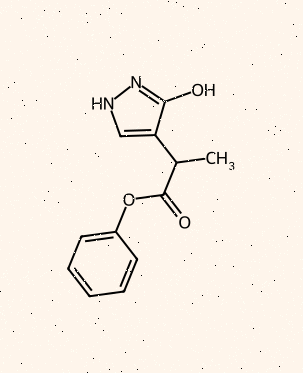 CC(C(=O)Oc1ccccc1)c1c[nH]nc1O